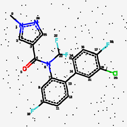 Cn1cc(C(=O)N(c2cc(F)ccc2-c2ccc(F)c(Cl)c2)C(F)F)cn1